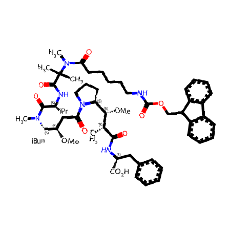 CC[C@H](C)[C@@H]([C@@H](CC(=O)N1CCC[C@H]1[C@H](OC)[C@@H](C)C(=O)N[C@@H](Cc1ccccc1)C(=O)O)OC)N(C)C(=O)[C@@H](NC(=O)C(C)(C)N(C)C(=O)CCCCCNC(=O)OCC1c2ccccc2-c2ccccc21)C(C)C